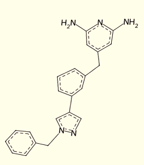 Nc1cc(Cc2cccc(-c3cnn(Cc4ccccc4)c3)c2)cc(N)n1